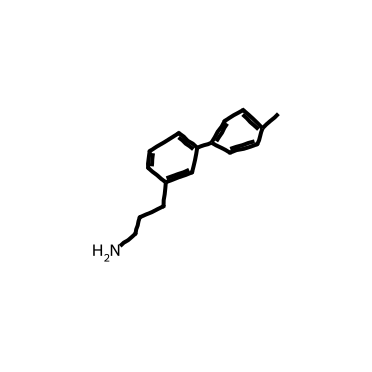 Cc1ccc(-c2cccc(CCCN)c2)cc1